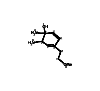 COCCC1=CC(N)C(N)(O)C=C1